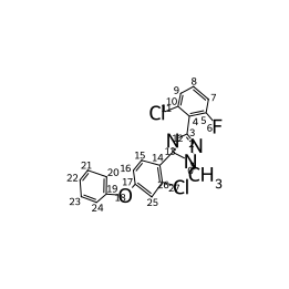 Cn1nc(-c2c(F)cccc2Cl)nc1-c1ccc(Oc2ccccc2)cc1Cl